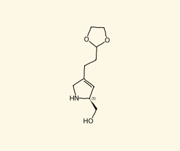 OC[C@@H]1C=C(CCC2OCCO2)CN1